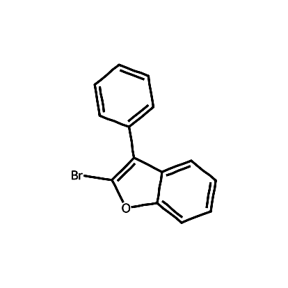 Brc1oc2ccccc2c1-c1ccccc1